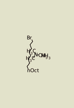 CCCCCCCCCCCCCCCCBr.CN(C)C.N